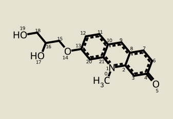 Cn1c2cc(=O)ccc-2cc2ccc(OCC(O)CO)cc21